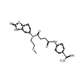 COCCN(C(=O)CCC(=O)Nc1ccc(C(=N)N)cc1)c1ccc2oc(=O)[nH]c2c1